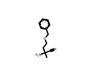 CC(N)(C#N)CCOCc1ccccc1